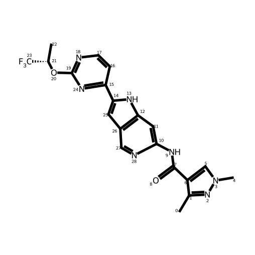 Cc1nn(C)cc1C(=O)Nc1cc2[nH]c(-c3ccnc(O[C@@H](C)C(F)(F)F)n3)cc2cn1